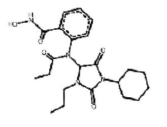 CCCN1C(=O)N(C2CCCCC2)C(=O)C1N(C(=O)CC)c1ccccc1C(=O)NO